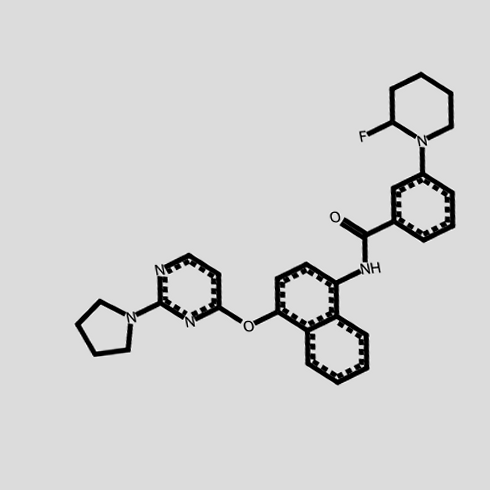 O=C(Nc1ccc(Oc2ccnc(N3CCCC3)n2)c2ccccc12)c1cccc(N2CCCCC2F)c1